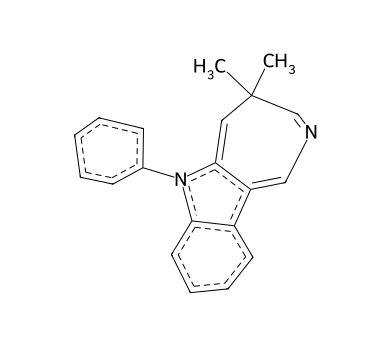 CC1(C)C=NC=c2c(n(-c3ccccc3)c3ccccc23)=C1